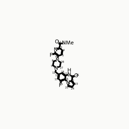 CNC(=O)c1ccc(N2CCN(Cc3cc(F)c4c(c3)[nH]c(=O)c3cccn34)CC2)c(F)n1